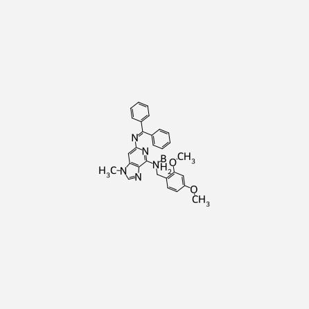 BN(Cc1ccc(OC)cc1OC)c1nc(N=C(c2ccccc2)c2ccccc2)cc2c1ncn2C